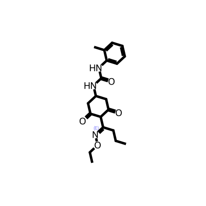 CCC/C(=N\OCC)C1C(=O)CC(NC(=O)Nc2ccccc2C)CC1=O